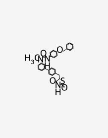 CN(C(=O)Nc1ccc(OCc2ccccc2)cc1)c1cccc(-c2ccc(CC3SC(=O)NC3=O)cc2)c1